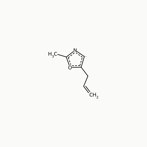 C=CCc1[c]nc(C)o1